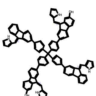 Oc1ccc2c(c1)/C(=C\c1ccc[nH]1)c1cc(-c3ccc(C(c4ccc(-c5ccc6c(c5)/C(=C/c5ccc[nH]5)c5cc(O)ccc5-6)cc4)(c4ccc(-c5ccc6c(c5)/C(=C/c5ccc[nH]5)c5ccccc5-6)cc4)c4ccc(-c5ccc6c(c5)/C(=C/c5ccc[nH]5)c5ccccc5-6)cc4)cc3)ccc1-2